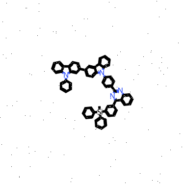 C[Si](c1ccccc1)(c1ccccc1)c1cccc(-c2nc(-c3ccc(-n4c5ccccc5c5cc(-c6ccc7c8ccccc8n(-c8ccccc8)c7c6)ccc54)cc3)nc3ccccc23)c1